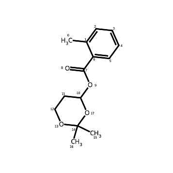 Cc1ccccc1C(=O)OC1CCOC(C)(C)O1